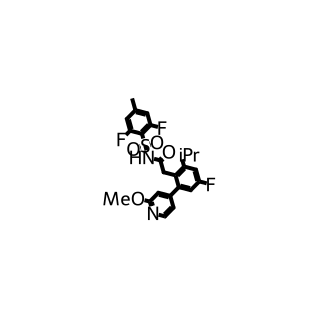 COc1cc(-c2cc(F)cc(C(C)C)c2CC(=O)NS(=O)(=O)c2c(F)cc(C)cc2F)ccn1